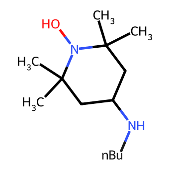 CCCCNC1CC(C)(C)N(O)C(C)(C)C1